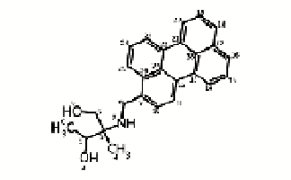 CC(O)C(C)(CO)NCc1ccc2c3cccc4cccc(c5cccc1c52)c43